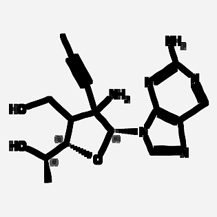 CC#CC1(N)C(CO)[C@@H]([C@@H](C)O)O[C@H]1n1cnc2cnc(N)nc21